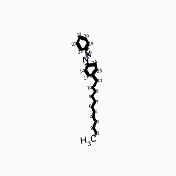 CCCCCCCCCCCCc1ccc(/N=N/c2ccccc2)cc1